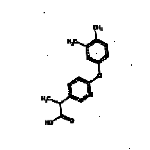 Cc1ccc(Oc2ccc(C(C)C(=O)O)cn2)cc1C